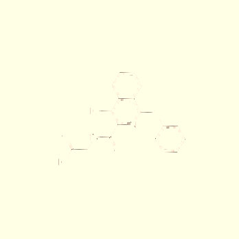 O=C(O)CNC(=O)c1nc(Sc2ccccc2)c2ccccc2c1O